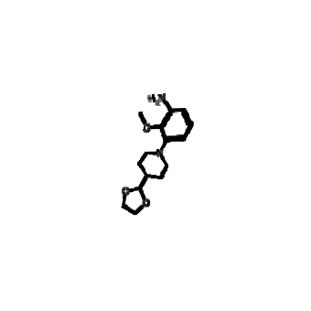 COc1c(N)cccc1N1CCC(C2OCCO2)CC1